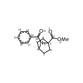 COC(=O)C12CCC(CC1)N2C(=O)c1ccccc1